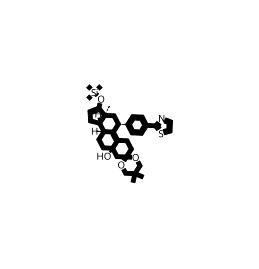 CC1(C)COC2(CCC3=C4[C@@H](CC[C@@]3(O)C2)[C@@H]2CC=C(O[Si](C)(C)C)[C@@]2(C)C[C@@H]4c2ccc(-c3nccs3)cc2)OC1